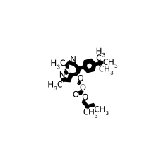 CCC(C)COC(=O)OCO/C(=C(\c1ccc(C(C)(C)C)cc1)C1C=N1)c1cc(C)nn1CC